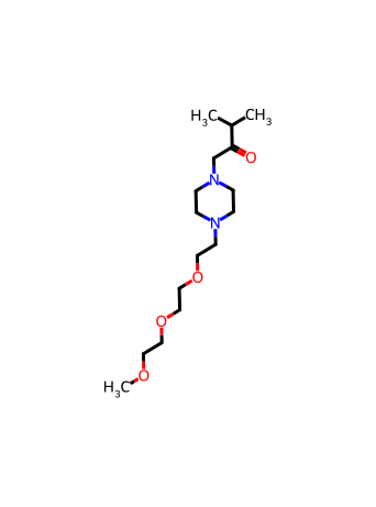 COCCOCCOCCN1CCN(CC(=O)C(C)C)CC1